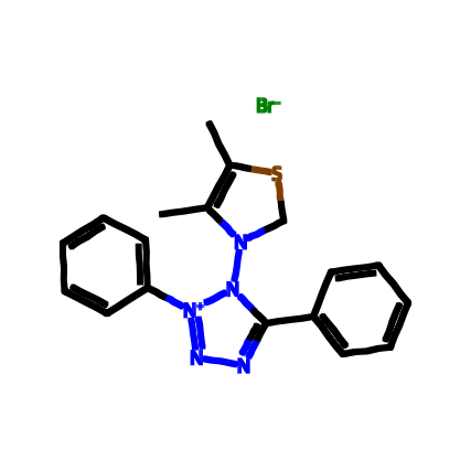 CC1=C(C)N(n2c(-c3ccccc3)nn[n+]2-c2ccccc2)CS1.[Br-]